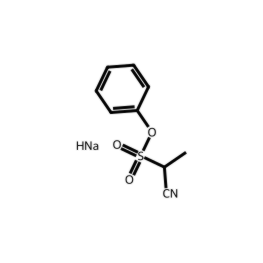 CC(C#N)S(=O)(=O)Oc1ccccc1.[NaH]